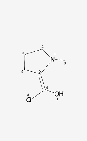 CN1CCC/C1=C(/O)Cl